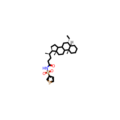 CC[C@H]1CC2C3CC[C@H]([C@H](C)CCC(=O)NS(=O)(=O)c4ccsc4)[C@@]3(C)CCC2[C@@]2(C)CCCC[C@@H]12